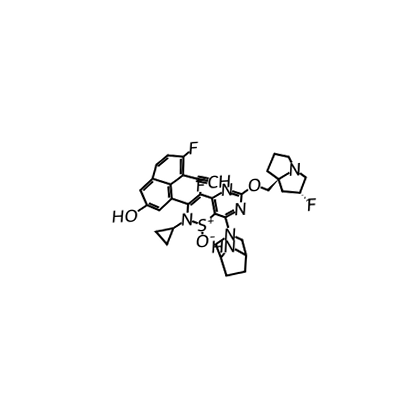 C#Cc1c(F)ccc2cc(O)cc(C3=C(F)c4nc(OC[C@@]56CCCN5C[C@H](F)C6)nc(N5CC6CCC(C5)N6)c4[S+]([O-])N3C3CC3)c12